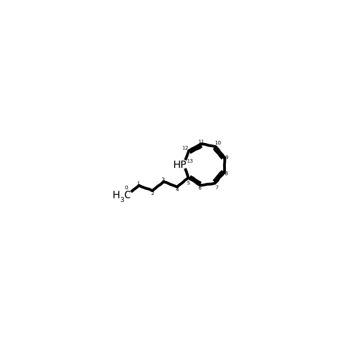 CCCCCc1ccccccc[pH]1